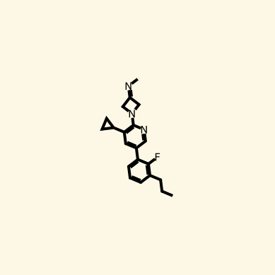 CCCc1cccc(-c2cnc(N3CC(=NC)C3)c(C3CC3)c2)c1F